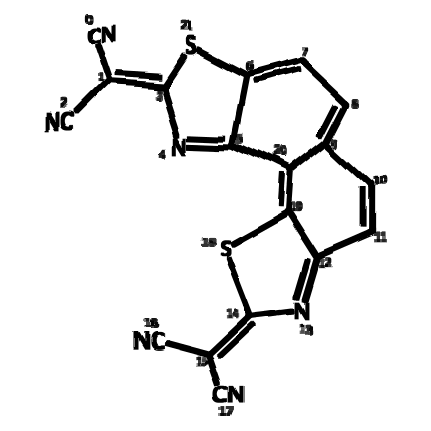 N#CC(C#N)=c1nc2c(ccc3ccc4nc(=C(C#N)C#N)sc4c32)s1